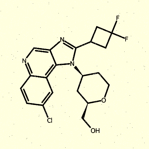 OC[C@H]1C[C@@H](n2c(C3CC(F)(F)C3)nc3cnc4ccc(Cl)cc4c32)CCO1